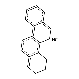 C1=c2ccc3c(c2CCC1)CC=c1ccccc1=3.Cl